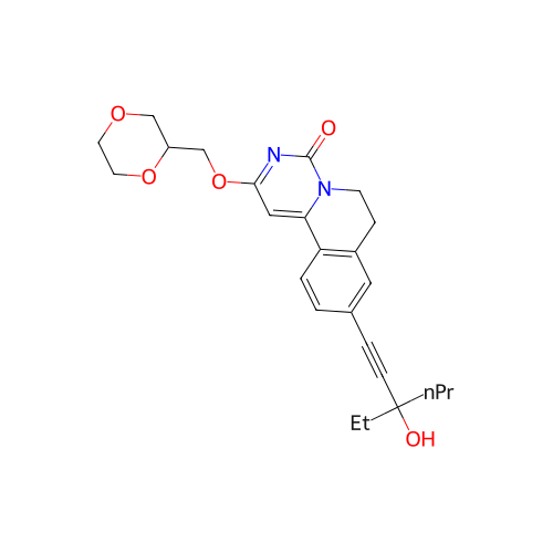 CCCC(O)(C#Cc1ccc2c(c1)CCn1c-2cc(OCC2COCCO2)nc1=O)CC